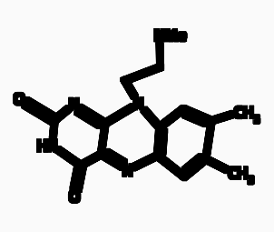 CNCCn1c2nc(=O)[nH]c(=O)c-2nc2cc(C)c(C)cc21